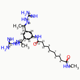 CNC(=O)CCCCCCCCC(=O)Nc1cc(/C(C)=N/NC(=N)N)cc(/C(C)=N/NC(=N)N)c1